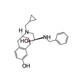 Oc1ccc2c(c1)[C@@]13CCN(CC4CC4)[C@H](C2)[C@]1(O)C[C@H](NCc1ccccc1)C3